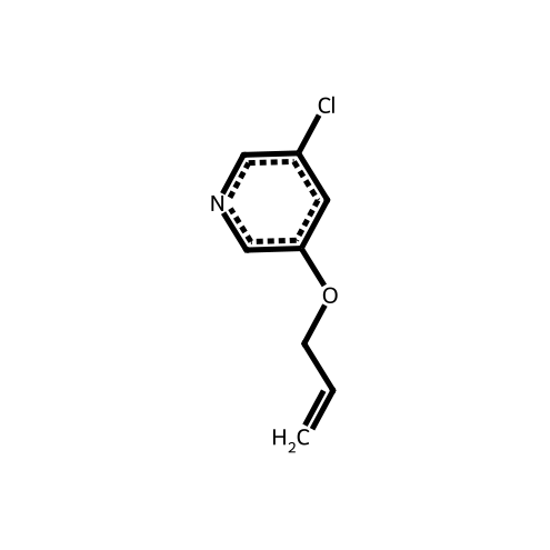 C=CCOc1cncc(Cl)c1